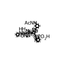 CC(=O)Nc1cccc(C2OC3C(COc4ncccc4C(=O)O)OC(n4cnc5c(NC(=O)NC6CCCC6)ncnc54)C3O2)c1